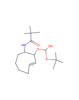 CC(C)(C)OC(O)OC1/C=C/CCCCC1NC(=O)C(C)(C)C